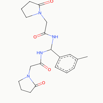 Cc1cccc(C(NC(=O)CN2CCCC2=O)NC(=O)CN2CCCC2=O)c1